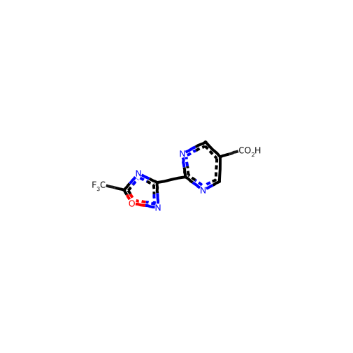 O=C(O)c1cnc(-c2noc(C(F)(F)F)n2)nc1